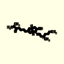 CCCC[C@H](C)C/C=C/[C@@H]1[C@H]2CC(CCCCC(=O)N(C)C)=C[C@H]2C[C@H]1O